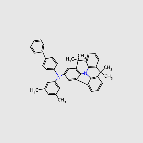 Cc1cc(C)cc(N(c2ccc(-c3ccccc3)cc2)c2cc3c4c(c2)c2cccc5c2n4-c2c(cccc2C3(C)C)C5(C)C)c1